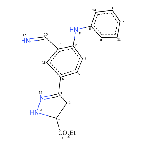 CCOC(=O)C1CC(c2ccc(Nc3ccccc3)c(C=N)c2)=NN1